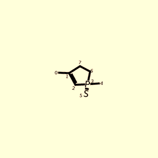 CC1=CP(C)(=S)CC1